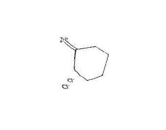 [Cl-].[Cl-].[Zr+2]=[C]1CCCCC1